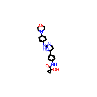 O=C(Nc1ccc(-c2ccnc(Nc3ccc(N4CCOCC4)cc3)n2)cc1)C1(O)CC1